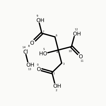 O=C(O)CC(O)(CC(=O)O)C(=O)O.OCl